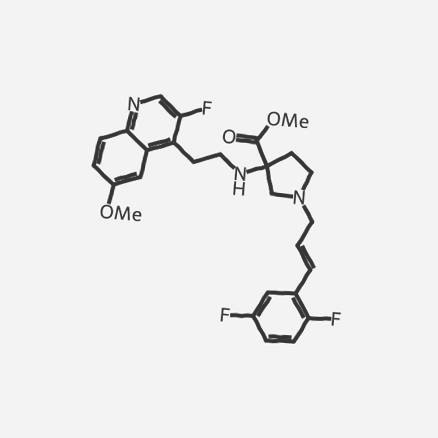 COC(=O)C1(NCCc2c(F)cnc3ccc(OC)cc23)CCN(CC=Cc2cc(F)ccc2F)C1